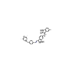 Cc1ccc2c(c1)[C@]1(C[C@H]1c1ccc3c(/C=C/c4ccc(CN5C[C@@H](C)O[C@@H](C)C5)cc4)n[nH]c3c1)C(=O)N2